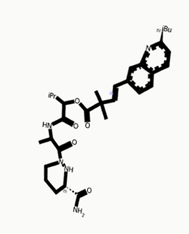 CC[C@H](C)c1ccc2ccc(/C=C/C(C)(C)C(=O)OC(C(=O)NC(C)C(=O)N3CCC[C@@H](C(N)=O)N3)C(C)C)cc2n1